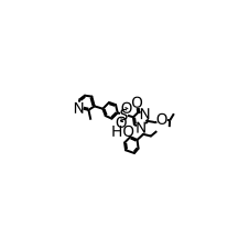 CCC(c1ccccc1)n1c(COC(C)C)nc(=O)c(S(=O)(=O)c2ccc(-c3cccnc3C)cc2)c1O